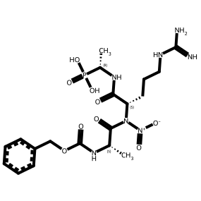 C[C@H](NC(=O)OCc1ccccc1)C(=O)N([C@@H](CCCNC(=N)N)C(=O)N[C@@H](C)P(=O)(O)O)[N+](=O)[O-]